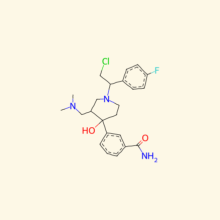 CN(C)CC1CN(C(CCl)c2ccc(F)cc2)CCC1(O)c1cccc(C(N)=O)c1